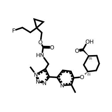 Cc1nc(-c2nnn(C)c2CNC(=O)OCC2(CCF)CC2)ccc1O[C@H]1CCC[C@H](C(=O)O)C1